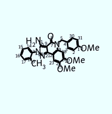 COc1ccc(Cn2c(=O)c3c(N)n(-c4ccccc4C)nc3c3cc(OC)c(OC)cc32)cc1